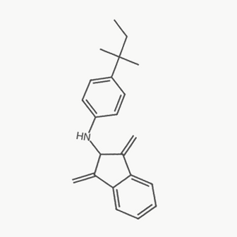 C=C1c2ccccc2C(=C)C1Nc1ccc(C(C)(C)CC)cc1